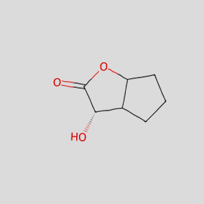 O=C1OC2CCCC2[C@@H]1O